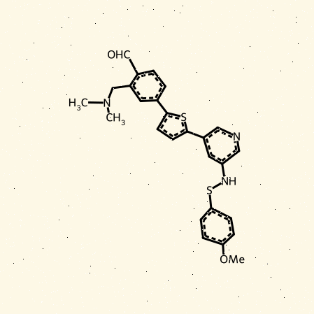 COc1ccc(SNc2cncc(-c3ccc(-c4ccc(C=O)c(CN(C)C)c4)s3)c2)cc1